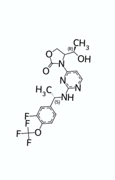 C[C@H](Nc1nccc(N2C(=O)OCC2[C@@H](C)O)n1)c1ccc(OC(F)(F)F)c(F)c1